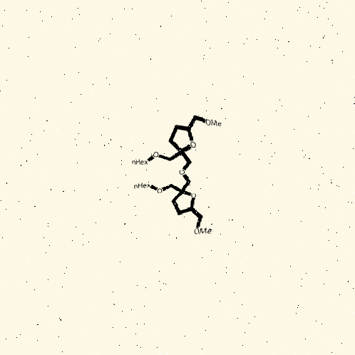 CCCCCCOCC1(COCC2(COCCCCCC)CCC(COC)O2)CCC(COC)O1